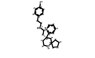 Fc1ccc(CCNCC[C@@]2(c3ccccn3)CCOC3(CCCC3)C2)cc1